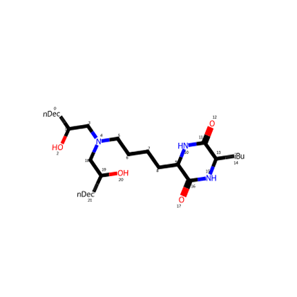 CCCCCCCCCCC(O)CN(CCCCC1NC(=O)C(C(C)CC)NC1=O)CC(O)CCCCCCCCCC